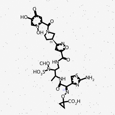 CC(NC(=O)/C(=N\OC1(C(=O)O)CC1)c1csc(N)n1)C(CNC(=O)c1cc([C@H]2CCN(C(=O)c3cc(=O)c(O)cn3O)C2)no1)N(C=O)S(=O)(=O)O